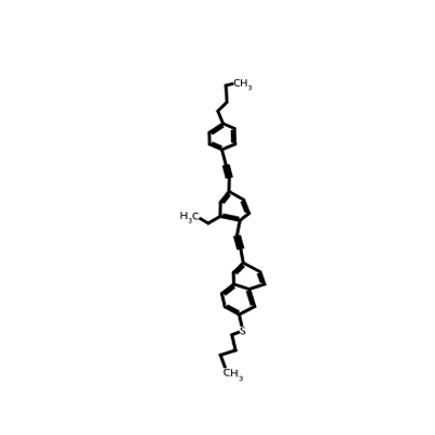 CCCCSc1ccc2cc(C#Cc3ccc(C#Cc4ccc(CCCC)cc4)cc3CC)ccc2c1